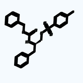 Cc1ccc(S(=O)(=O)OC[C@H](Cc2ccccc2)NC(=O)OCc2ccccc2)cc1